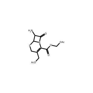 CC(=O)OCOC(=O)C1=C(COC(C)=O)CSC2C(N)C(=O)N12